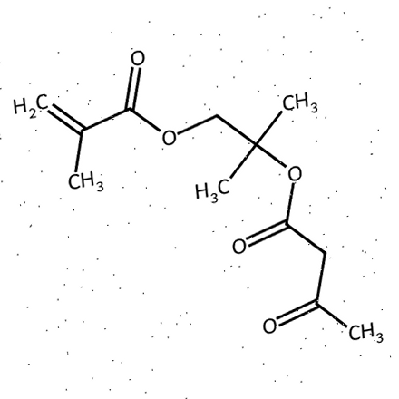 C=C(C)C(=O)OCC(C)(C)OC(=O)CC(C)=O